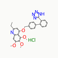 CCc1cc(OCc2ccc(-c3ccccc3-c3nnn[nH]3)cc2)c2c(OC)c(OC)c(OC)cc2n1.Cl